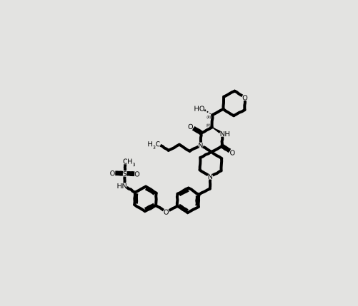 CCCCN1C(=O)[C@@H]([C@H](O)C2CCOCC2)NC(=O)C12CCN(Cc1ccc(Oc3ccc(NS(C)(=O)=O)cc3)cc1)CC2